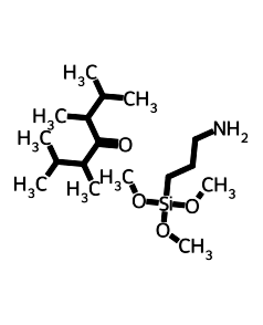 CC(C)C(C)C(=O)C(C)C(C)C.CO[Si](CCCN)(OC)OC